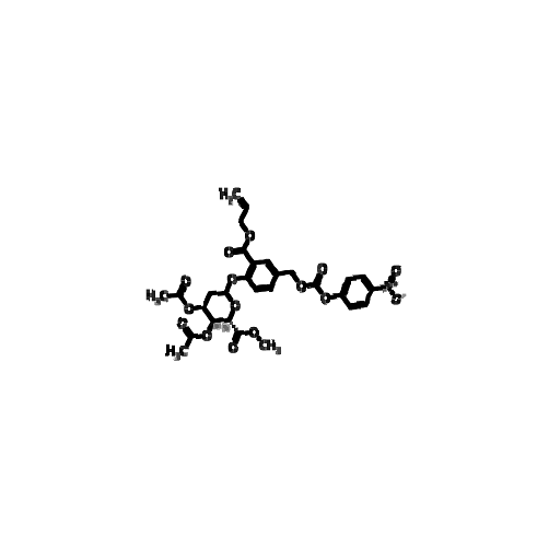 C=CCOC(=O)c1cc(COC(=O)Oc2ccc([N+](=O)[O-])cc2)ccc1OC1CC(OC(C)=O)[C@H](OC(C)=O)[C@@H](C(=O)OC)O1